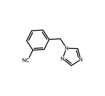 N#Cc1cccc(Cn2cncn2)c1